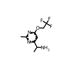 Cc1nc(OCC(F)(F)F)cc(C(C)N)n1